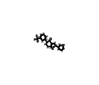 O=C1c2cn(-c3cccnc3)nc2CCN1c1cccc(C(F)(F)F)c1